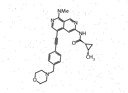 CNc1ncc(C#Cc2ccc(CN3CCOCC3)cc2)c2cc(NC(=O)[C@H]3C[C@H]3C)ncc12